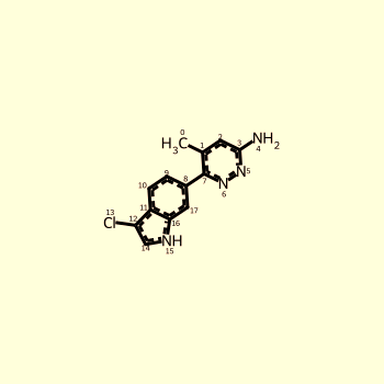 Cc1cc(N)nnc1-c1ccc2c(Cl)c[nH]c2c1